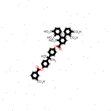 CC(C)(c1ccc(OC(=O)c2cccc(C(=O)O)c2)cc1)c1ccc(OC(=O)c2ccc(-c3cccc(C(=O)O)c3C(=O)O)c(-c3cccc(C(=O)O)c3C(=O)O)c2C(=O)O)cc1